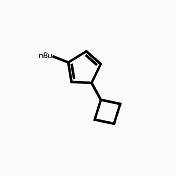 CCCCC1=CC(C2CCC2)C=C1